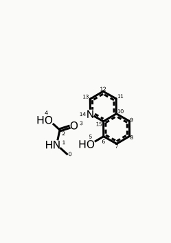 CNC(=O)O.Oc1cccc2cccnc12